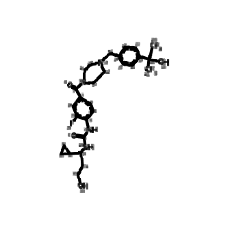 O=C(Nc1ccc(C(=O)N2CCN(Cc3ccc(C(O)(C(F)(F)F)C(F)(F)F)cc3)CC2)cc1F)NC(CCO)C1CC1